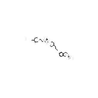 CC(C)C1CCN(CCn2nnc(N3CCC(CCCOc4ccc5c(c4)CCN(S(C)(=O)=O)C5)CC3)n2)CC1